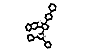 c1ccc(-c2ccc(-c3ccc(-c4nc(-c5ccccc5)cc(-c5ccccc5)n4)c4c3oc3cc5ccccc5cc34)cc2)cc1